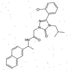 CC(C)Cn1c(-c2ccccc2Cl)nn(CC(=O)NC(C)c2ccc3ccccc3c2)c1=O